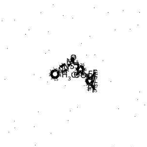 COc1cc(C=C2SC(N3CCN(C4CCCCCC4)CC3)=NC2=O)ccc1OCc1ccc(C(F)(F)F)cc1C(F)(F)F